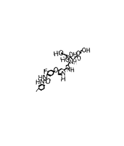 C[C@H]1C=C(NC(=O)NC2=CC[C@@H](OC3C=CN[C@H]([C@H]4CC([C@@H](O)N[C@@H](CCC(=O)OCCO)[C@@H](O)OCCO)CN4)C3)C[C@H]2F)CCC1